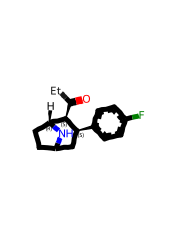 CCC(=O)[C@H]1[C@@H](c2ccc(F)cc2)CC2CC[C@H]1N2